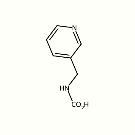 O=C(O)NCc1cccnc1